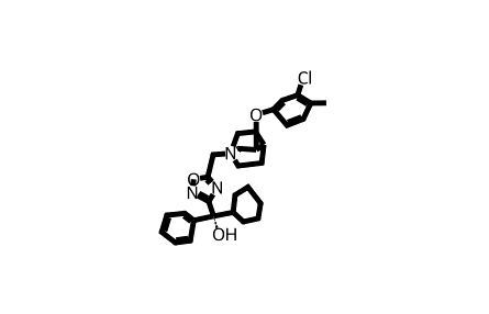 Cc1ccc(OC2C[N+]3(Cc4nc([C@](O)(c5ccccc5)C5CCCCC5)no4)CCC2CC3)cc1Cl